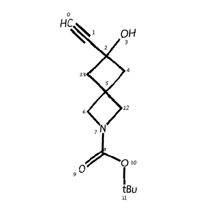 C#CC1(O)CC2(CN(C(=O)OC(C)(C)C)C2)C1